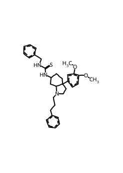 COc1ccc(C23CCC(NC(=S)NCc4ccccc4)CC2N(CCCc2ccccc2)CC3)cc1OC